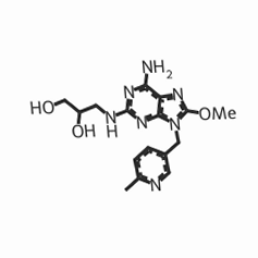 COc1nc2c(N)nc(NCC(O)CO)nc2n1Cc1ccc(C)nc1